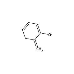 C=C1CC=C[C]=C1[O]